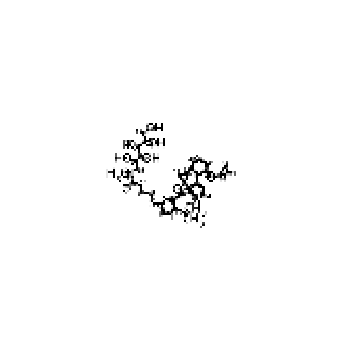 CC(C)c1ccc(SCCCC(=O)N(C)CC(O)C(O)C(O)C(O)CO)cc1COC1(c2cnccc2-c2ccccc2OC2CC2)CC1